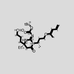 C=C/C=C(\C)OCC[C@H](C)N1C(=O)C[C@@](CC)(CCCC=O)N/C1=N\C(=O)OC(C)(C)C